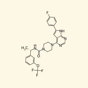 C[C@H](NC(=O)N1CCN(c2ncnc3[nH]c(-c4ccc(F)cc4)cc23)CC1)c1cccc(OC(F)(F)F)c1